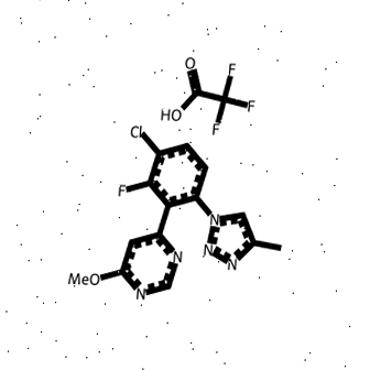 COc1cc(-c2c(-n3cc(C)nn3)ccc(Cl)c2F)ncn1.O=C(O)C(F)(F)F